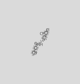 O=C(NCCCCN1CCN(c2ccc(Cl)cc2Cl)CC1)c1ccc(-c2ccccn2)cc1